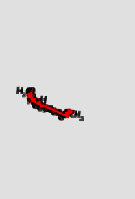 C=C/C(=C\N=C(/C)N1CCN(c2ncc(CN(C)C=O)cn2)CC1)C(=O)NCCOCCOCCOCCOCCC(=O)N1CCc2cc(CC)ccc2C1